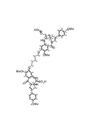 COc1ccc(C2=CN3C(=O)c4cc(OC)c(OCCCCCOc5cc6c(cc5OC)C(=O)N5C=C(c7ccc(OC)cc7)C[C@H]5[C@H](SOOO)N6)cc4N[C@@H](S(=O)(=O)O)[C@@H]3C2)cc1